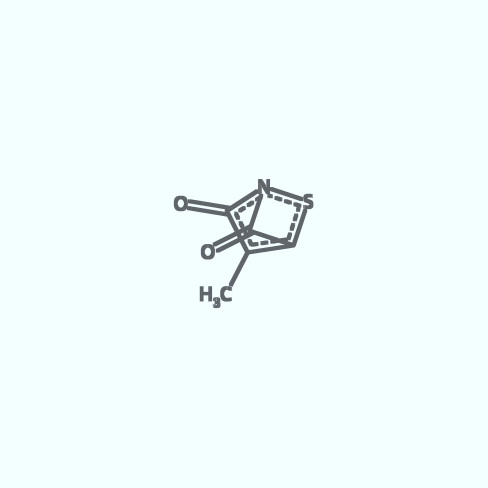 Cc1c2sn(c1=O)C2=O